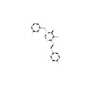 O=c1c(Br)c(C=Cc2ccc(F)cc2)ncn1Cc1cccc(F)c1